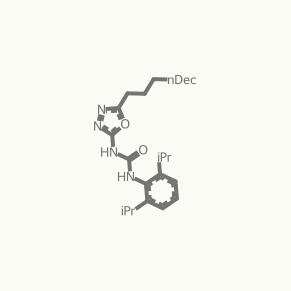 CCCCCCCCCCCCCc1nnc(NC(=O)Nc2c(C(C)C)cccc2C(C)C)o1